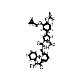 CCN(C(=O)c1cccc(CNC(=O)[C@H]2CC(c3ccc(OC(F)F)c(OCC4CC4)c3)CN2C(C)=O)n1)C1CCCCC1